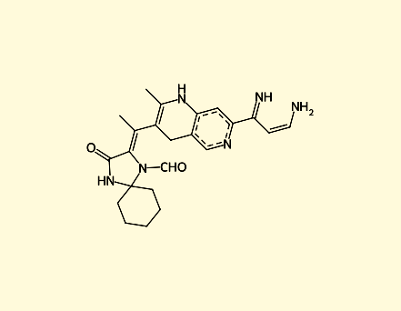 CC1=C(/C(C)=C2/C(=O)NC3(CCCCC3)N2C=O)Cc2cnc(C(=N)/C=C\N)cc2N1